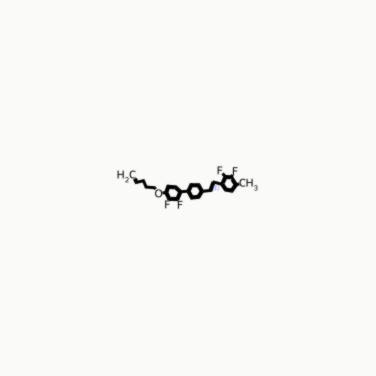 C=CCCCOc1ccc(-c2ccc(/C=C/c3ccc(C)c(F)c3F)cc2)c(F)c1F